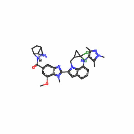 COc1cc(C(=O)N2CC3CCC2[C@@H]3N)cc2nc(-c3cc4cccc(Nc5c(C)nn(C)c5C)c4n3CC3CC3(Cl)Cl)n(C)c12